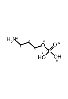 NCCCOP(=O)(O)O